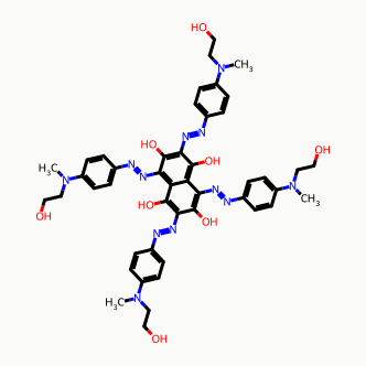 CN(CCO)c1ccc(N=Nc2c(O)c(N=Nc3ccc(N(C)CCO)cc3)c3c(O)c(N=Nc4ccc(N(C)CCO)cc4)c(O)c(N=Nc4ccc(N(C)CCO)cc4)c3c2O)cc1